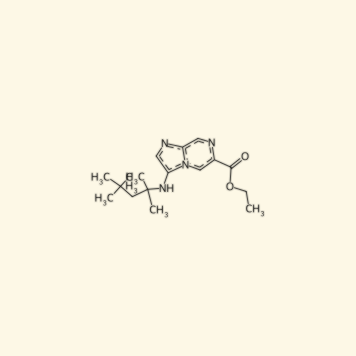 CCOC(=O)c1cn2c(NC(C)(C)CC(C)(C)C)cnc2cn1